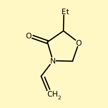 C=CN1COC(CC)C1=O